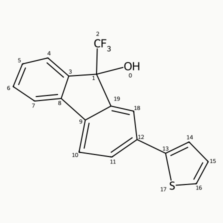 OC1(C(F)(F)F)c2ccccc2-c2ccc(-c3cccs3)cc21